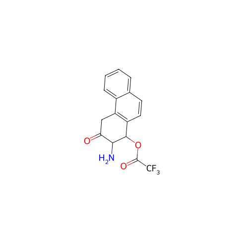 NC1C(=O)Cc2c(ccc3ccccc23)C1OC(=O)C(F)(F)F